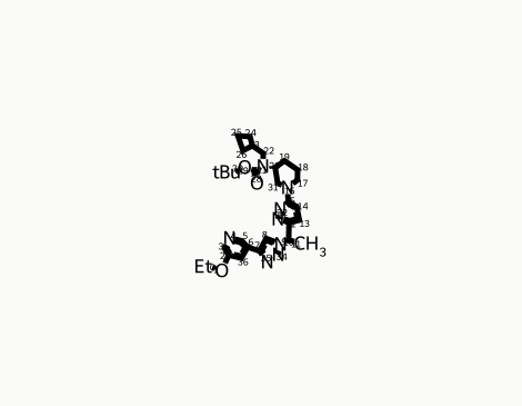 CCOc1cncc(-c2cn(C(C)c3ccc(N4CCC[C@@H](N(CC5CCC5)C(=O)OC(C)(C)C)C4)nn3)nn2)c1